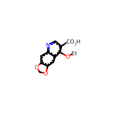 CCOc1c(C(=O)O)cnc2cc3c(cc12)OCO3